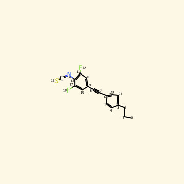 CCCc1ccc(C#Cc2cc(F)c(N=C=S)c(F)c2)cc1